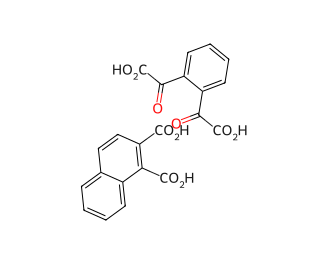 O=C(O)C(=O)c1ccccc1C(=O)C(=O)O.O=C(O)c1ccc2ccccc2c1C(=O)O